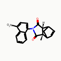 C[C@@]12C(=O)N(c3ccc([N+](=O)[O-])c4ccccc34)C(=O)[C@@H]1C1C=CC2C1